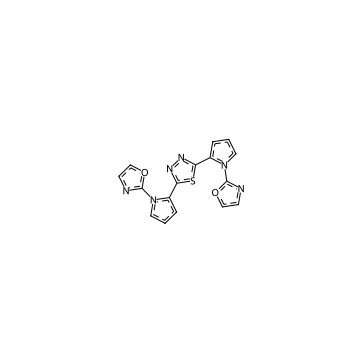 c1cc(-c2nnc(-c3cccn3-c3ncco3)s2)n(-c2ncco2)c1